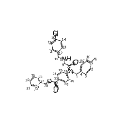 Cc1ccc(CN(C(=O)CNCc2ccc(Cl)cc2)c2ccc(C(=O)OCc3ccccc3)cc2)cc1